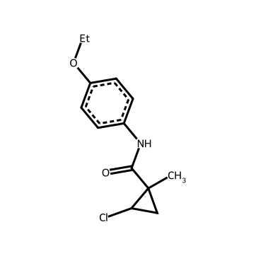 CCOc1ccc(NC(=O)C2(C)CC2Cl)cc1